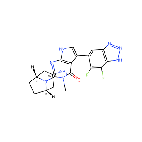 Cn1c(N2[C@@H]3CC[C@H]2C[C@@H](N)C3)nc2[nH]cc(-c3cc4nn[nH]c4c(F)c3F)c2c1=O